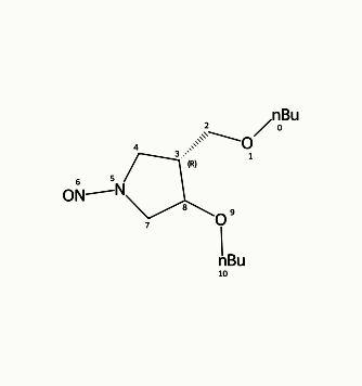 CCCCOC[C@H]1CN(N=O)CC1OCCCC